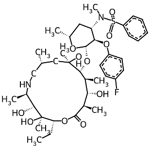 CC[C@H]1OC(=O)[C@H](C)[C@@H](O)[C@H](C)[C@@H](O[C@@H]2O[C@H](C)C[C@H](N(C)S(=O)(=O)c3ccccc3)[C@H]2Oc2ccc(F)cc2)[C@](C)(O)C[C@@H](C)CN[C@H](C)[C@@H](O)[C@]1(C)O